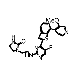 COc1cnccc1-c1cccc2cc(-c3nc(NCCN4CCNC4=O)ncc3F)sc12